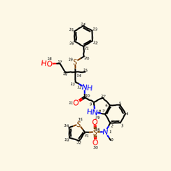 CN(c1cccc2c1NC(C(=O)NCC(C)(CCO)SCc1ccccc1)C2)S(=O)(=O)c1cccs1